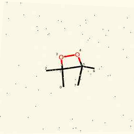 CC1(C)OOC1(C)C